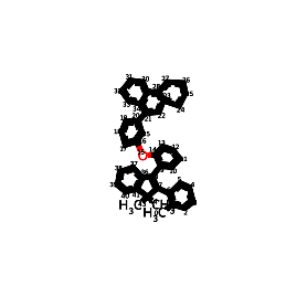 Cc1ccccc1C1=C(c2ccccc2Oc2cccc(-c3cc4ccccc4c4ccccc34)c2)c2ccccc2C1(C)C